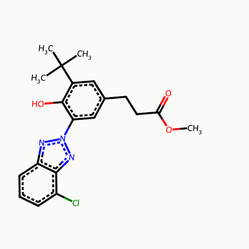 COC(=O)CCc1cc(-n2nc3cccc(Cl)c3n2)c(O)c(C(C)(C)C)c1